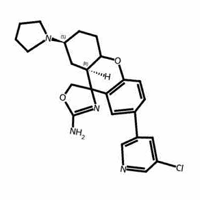 NC1=NC2(CO1)c1cc(-c3cncc(Cl)c3)ccc1OC1CC[C@H](N3CCCC3)C[C@@H]12